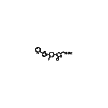 CC(=O)NCC1CN(c2ccc(-n3ccc(-c4ccccn4)n3)c(F)c2)C(=O)O1